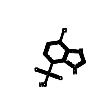 O=S(=O)(O)c1ccc(Cl)c2nc[nH]c12